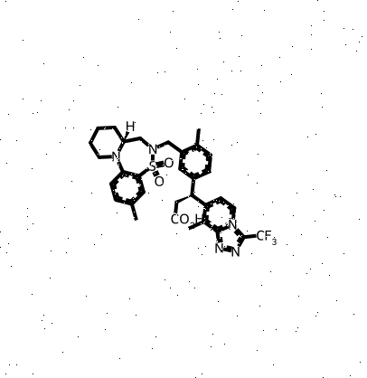 Cc1ccc2c(c1)S(=O)(=O)N(Cc1cc([C@H](CC(=O)O)c3ccn4c(C(F)(F)F)nnc4c3C)ccc1C)C[C@H]1CCCCN21